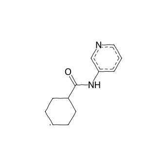 O=C(Nc1cccnc1)C1CC[CH]CC1